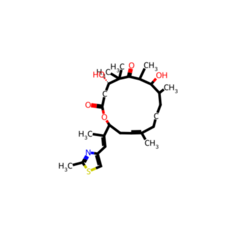 CC(=Cc1csc(C)n1)C1C/C=C(/C)CCCC(C)C(O)C(C)C(=O)C(C)(C)[C@@H](O)CC(=O)O1